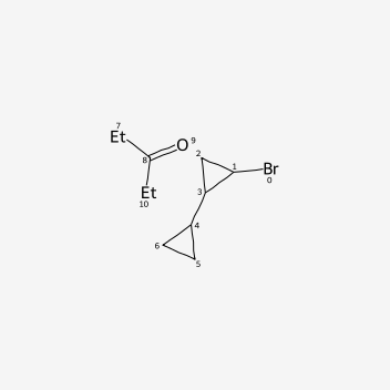 BrC1CC1C1CC1.CCC(=O)CC